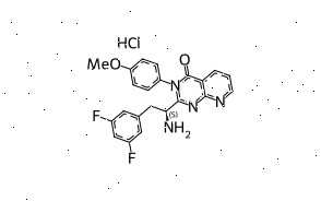 COc1ccc(-n2c([C@@H](N)Cc3cc(F)cc(F)c3)nc3ncccc3c2=O)cc1.Cl